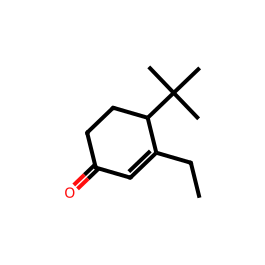 CCC1=CC(=O)CCC1C(C)(C)C